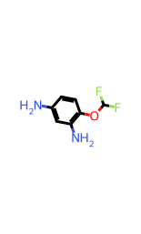 Nc1ccc(OC(F)F)c(N)c1